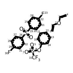 C=COC=C.O=S(=O)(Oc1ccccc1)C(F)(F)F.O=S(=O)(c1ccc(F)cc1)c1ccc(F)cc1